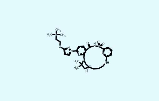 CC1(C)C[C@@H]2CCCNc3cccc(n3)S(=O)(=O)NC(=O)c3ccc(-n4ccc(OCCS(C)(C)C)n4)nc3N1C2